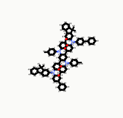 Cc1ccc(N(c2ccc(C)cc2)c2cc(-c3ccc(N(c4ccc(-c5ccccc5)cc4)c4ccc5c(c4)C(C)(C)c4ccccc4-5)cc3)c(N(c3ccc(C)cc3)c3ccc(C)cc3)cc2-c2ccc(N(c3ccc(-c4ccccc4)cc3)c3ccc4c(c3)C(C)(C)c3ccccc3-4)cc2)cc1